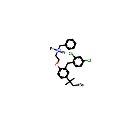 CC[N+](CC)(CCOc1ccc(C(C)(C)CC(C)(C)C)cc1Cc1ccc(Cl)cc1Cl)Cc1ccccc1